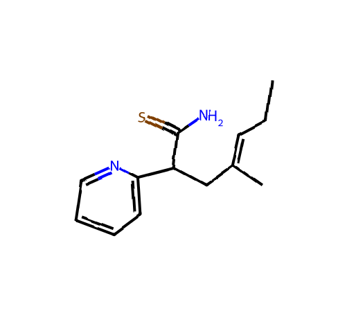 CCC=C(C)CC(C(N)=S)c1ccccn1